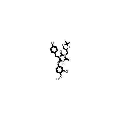 CC(C)Oc1ccc(N=c2[nH]c(=O)n(CC3COC(C)(C)O3)c(=O)n2Cc2ccc(Cl)cc2)cc1Cl